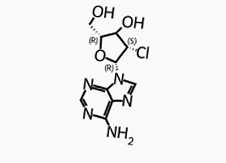 Nc1ncnc2c1ncn2[C@@H]1O[C@H](CO)C(O)[C@@H]1Cl